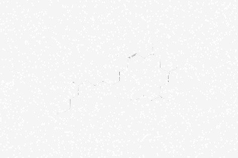 CC(=O)NCCN(CCN(CCN(CC=C(C)CCC[C@H](C)CCC[C@H](C)CCCC(C)C)C(C)=O)C(C)=O)C(C)=O